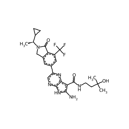 C[C@@H](C1CC1)N1Cc2cc(-c3cnc4[nH]c(N)c(C(=O)NCCC(C)(C)O)c4n3)cc(C(F)(F)F)c2C1=O